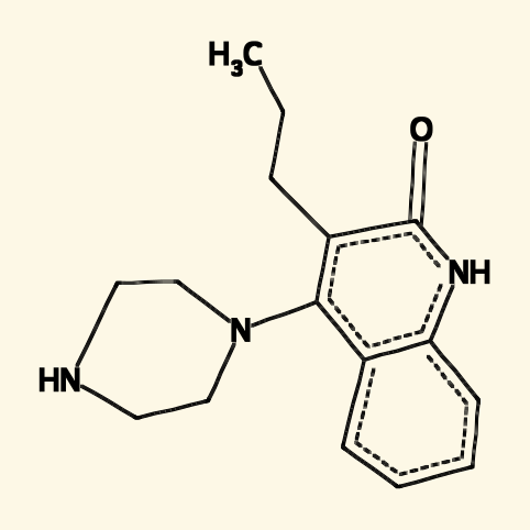 CCCc1c(N2CCNCC2)c2ccccc2[nH]c1=O